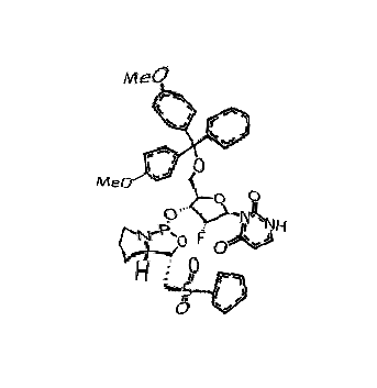 COc1ccc(C(OC[C@H]2O[C@@H](n3c(=O)cc[nH]c3=O)[C@H](F)[C@@H]2O[P@]2O[C@H](CS(=O)(=O)c3ccccc3)[C@@H]3CCCN32)(c2ccccc2)c2ccc(OC)cc2)cc1